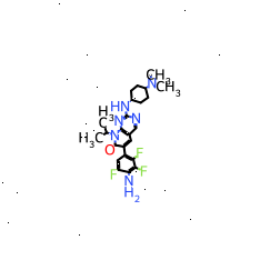 CC(C)n1c(=O)c(-c2cc(F)c(N)c(F)c2F)cc2cnc(N[C@H]3CC[C@H](N(C)C)CC3)nc21